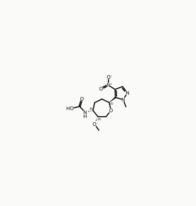 CO[C@H]1CO[C@H](c2c([N+](=O)[O-])cnn2C)CC[C@H]1NC(=O)O